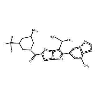 Cc1cc(-c2[nH]c3cc(C(=O)N4C[C@H](N)C[C@H](C(F)(F)F)C4)sc3c2C(C)C)cn2ncnc12